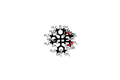 CC1(C)CC(C(OC(=O)O)(C(OC(=O)O)C(OC(=O)O)OC(=O)O)C(C2CC(C)(C)NC(C)(C)C2)(C2CC(C)(C)NC(C)(C)C2)C2CC(C)(C)NC(C)(C)C2)CC(C)(C)N1